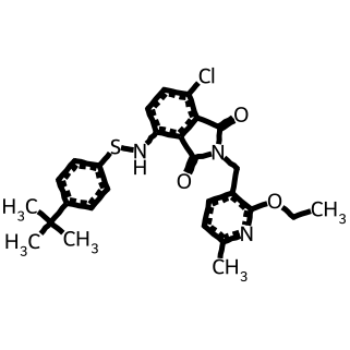 CCOc1nc(C)ccc1CN1C(=O)c2c(Cl)ccc(NSc3ccc(C(C)(C)C)cc3)c2C1=O